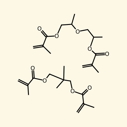 C=C(C)C(=O)OCC(C)(C)COC(=O)C(=C)C.C=C(C)C(=O)OCC(C)OCC(C)OC(=O)C(=C)C